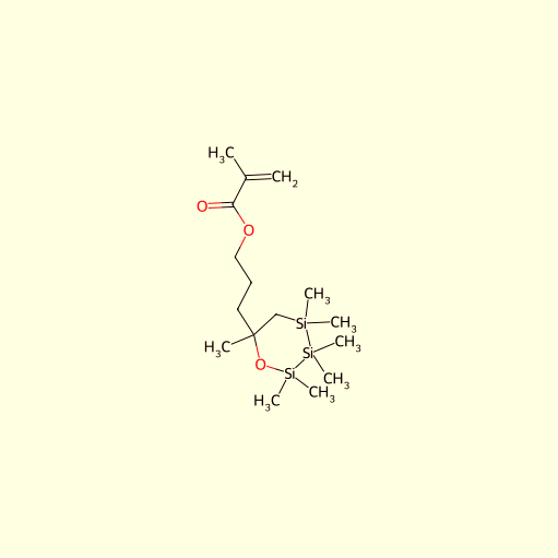 C=C(C)C(=O)OCCCC1(C)C[Si](C)(C)[Si](C)(C)[Si](C)(C)O1